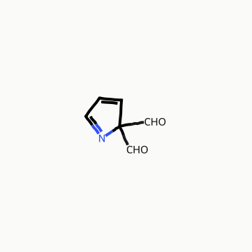 O=CC1(C=O)C=CC=N1